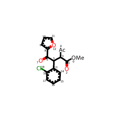 COC(=O)C(C(C)=O)C(C(=O)c1ccco1)c1ccccc1Cl